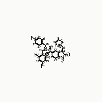 CN1C(=O)/C(=C/c2nccs2)c2cc(S(=O)(=O)N(Cc3ccc(F)cc3)Cc3ccc(F)cc3F)ccc21